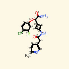 NC(=O)C(Oc1ccc(Cl)c(F)c1)C12CC(NC(=O)Cc3ccc(C(F)(F)F)nc3)(C1)C2